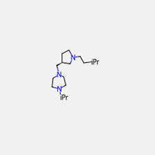 CC(C)CCN1CC[C@H](CN2CCN(C(C)C)CC2)C1